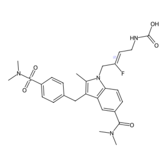 Cc1c(Cc2ccc(S(=O)(=O)N(C)C)cc2)c2cc(C(=O)N(C)C)ccc2n1C/C(F)=C/CNC(=O)O